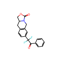 O=C1OCC2Cc3ccc(C(F)(F)C(=O)c4ccccc4)cc3CN12